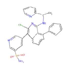 CC(Nc1nc(Cl)c(-c2cncc(S(N)(=O)=O)c2)c2cccc(-c3ccccc3)c12)c1ccccn1